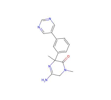 CN1CC(N)=NC(C)(c2cccc(-c3cncnc3)c2)C1=O